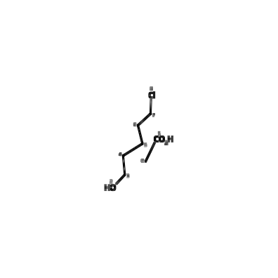 CC(=O)O.OCCCCCCl